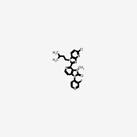 CC(C)CCn1c(-c2nccc3c2n(C)c(=O)n3-c2ccncc2F)nc2nc(Cl)ccc21